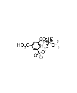 C[P+](C)(C)C.O=C(O)c1cc(C(=O)O)cc(S(=O)(=O)[O-])c1